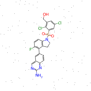 Nc1ncc2cc(-c3c(F)ccc4c3CCN4S(=O)(=O)c3cc(Cl)cc(CO)c3Cl)ccc2n1